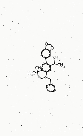 CC(N)c1cc2c(cc1-c1ccc3c(c1)OCO3)C(C)(C)CCN2Cc1ccccc1